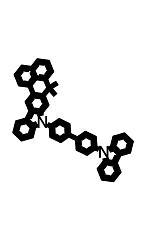 CC1(C)c2cc3c(cc2-c2cccc4cccc1c24)c1ccccc1n3-c1ccc(-c2ccc(-n3c4ccccc4c4ccccc43)cc2)cc1